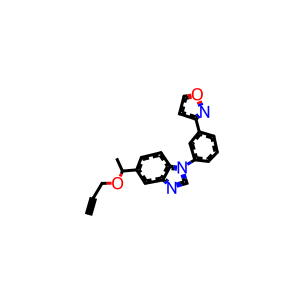 C#CCOC(C)c1ccc2c(c1)ncn2-c1cccc(-c2ccon2)c1